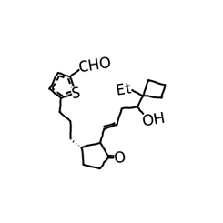 CCC1(C(O)C/C=C/C2C(=O)CC[C@@H]2CCCc2ccc(C=O)s2)CCC1